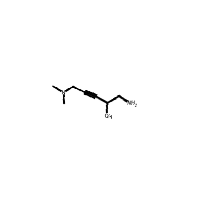 CN(C)CC#CC(O)CN